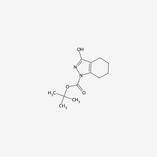 CC(C)(C)OC(=O)n1nc(O)c2c1CCCC2